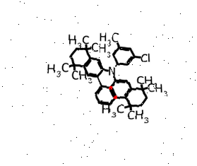 CC1=CC(Cl)=C[C@H](N(c2ccc3c(c2)C(C)(C)CCC3(C)C)c2cc3c(cc2-c2ccccc2)C(C)(C)CCC3(C)C)C1